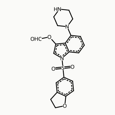 O=COc1cn(S(=O)(=O)c2ccc3c(c2)CCO3)c2cccc(N3CCNCC3)c12